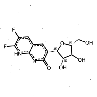 O=c1nc2[nH]c(F)c(F)cc-2cc1[C@@H]1O[C@H](CO)C(O)[C@@H]1O